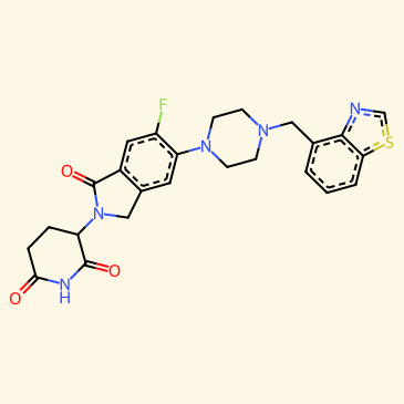 O=C1CCC(N2Cc3cc(N4CCN(Cc5cccc6scnc56)CC4)c(F)cc3C2=O)C(=O)N1